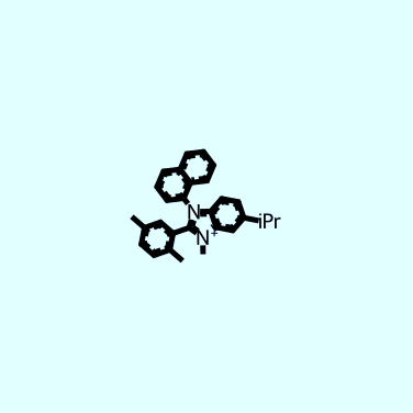 Cc1ccc(C)c(-c2n(-c3cccc4ccccc34)c3ccc(C(C)C)cc3[n+]2C)c1